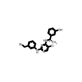 C[C@@H](Nc1nc(Nc2cccc(CBr)c2)ncc1Cl)c1cccc(O)c1